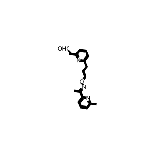 C/C(=N\OCCCc1cccc(CC=O)n1)c1cccc(C)n1